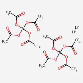 O=C(O[B-](OC(=O)C(F)(F)F)(OC(=O)C(F)(F)F)OC(=O)C(F)(F)F)C(F)(F)F.O=C(O[B-](OC(=O)C(F)(F)F)(OC(=O)C(F)(F)F)OC(=O)C(F)(F)F)C(F)(F)F.[Li+].[Li+]